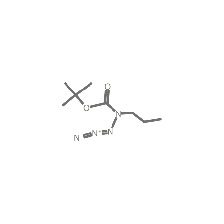 CCCN(N=[N+]=[N-])C(=O)OC(C)(C)C